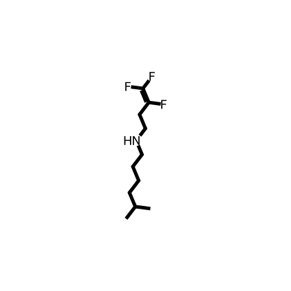 C[C](C)CCCCNCCC(F)=C(F)F